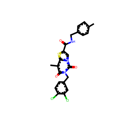 Cc1ccc(CNC(=O)c2cn3c(=O)n(Cc4ccc(Cl)c(Cl)c4)c(=O)c(C)c3s2)cc1